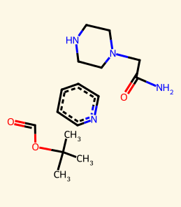 CC(C)(C)OC=O.NC(=O)CN1CCNCC1.c1ccncc1